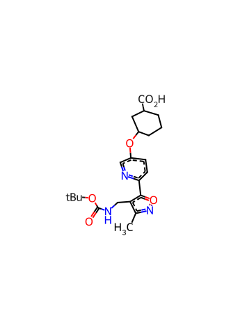 Cc1noc(-c2ccc(OC3CCCC(C(=O)O)C3)cn2)c1CNC(=O)OC(C)(C)C